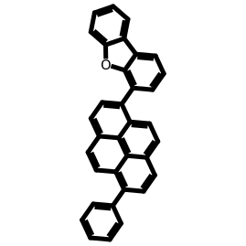 c1ccc(-c2ccc3ccc4c(-c5cccc6c5oc5ccccc56)ccc5ccc2c3c54)cc1